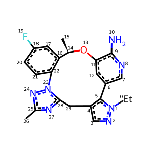 CCn1ncc2c1-c1cnc(N)c(c1)O[C@H](C)c1cc(F)ccc1-n1nc(C)nc1C2